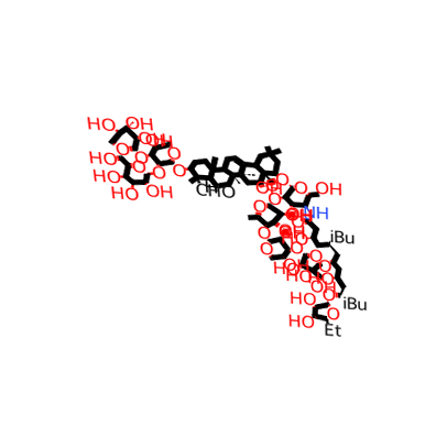 CC[C@@H](C)[C@@H](CC(=O)C[C@@H](O)C[C@H](O[C@@H]1O[C@@H](CC)[C@@H](O)C1O)[C@H](C)CC)C[C@H](O)CC(=O)N[C@H]1C(CO)O[C@@H](OC(=O)[C@]23CCC(C)(C)CC2C2=CCC4C5(C)CC[C@H](O[C@@H]6OC[C@@H](O)[C@H](O[C@@H]7OC[C@@H](O)[C@H](O)C7O)C6O[C@@H]6OC(CO)[C@H](O)[C@H](O)C6O)[C@](C)(C=O)[C@@H]5CC[C@]4(C)[C@]2(C)CC3O)[C@H](O[C@@H]2OC(C)[C@H](O[C@@H]3OC[C@@H](O)C(O[C@@H]4OC[C@@](O)(CO)C4O)[C@H]3O)C(O)[C@@H]2O)C1O